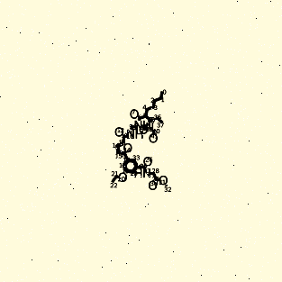 CCCCCC(C(=O)NCNC(=O)c1ccc(-c2cc(OCC)cc(C(=O)NCC(=O)OC)c2)o1)[C@@H](CC)N(O)C=O